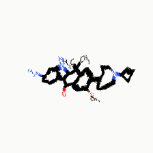 COc1cc2c(cc1C1CCN(C3CCC3)CC1)C(C)(C)c1[nH]c3cc(N)ccc3c1C2=O